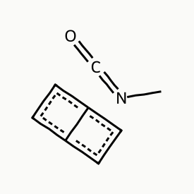 CN=C=O.c1cc2ccc1-2